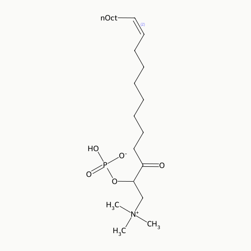 CCCCCCCC/C=C\CCCCCCCC(=O)C(C[N+](C)(C)C)OP(=O)([O-])O